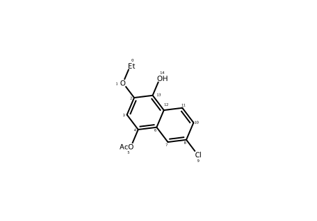 CCOc1cc(OC(C)=O)c2cc(Cl)ccc2c1O